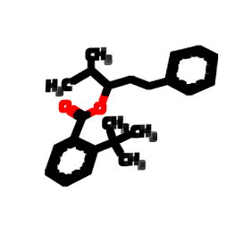 CC(C)C(CCc1ccccc1)OC(=O)c1ccccc1C(C)(C)C